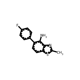 Cc1nc2c(N)c(-c3ccc(F)cc3)ccc2s1